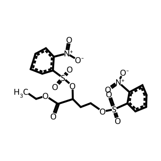 CCOC(=O)C(CCOS(=O)(=O)c1ccccc1[N+](=O)[O-])OS(=O)(=O)c1ccccc1[N+](=O)[O-]